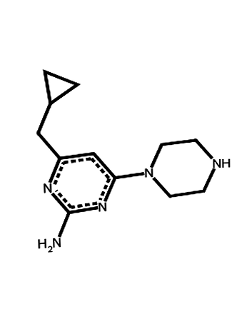 Nc1nc(CC2CC2)cc(N2CCNCC2)n1